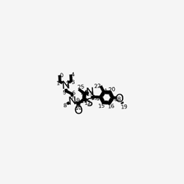 CCN(CC)CCN(C)C(=O)c1sc(-c2ccc(OC)cc2C)nc1C